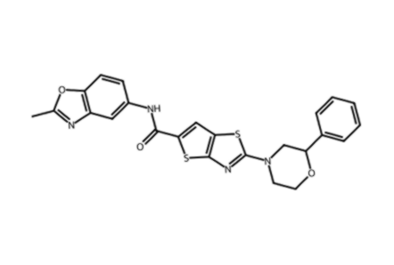 Cc1nc2cc(NC(=O)c3cc4sc(N5CCOC(c6ccccc6)C5)nc4s3)ccc2o1